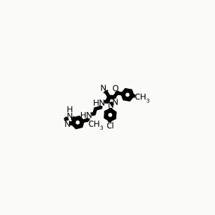 Cc1ccc(C(=O)c2nn(-c3ccc(Cl)cc3)c(NCCCNC(C)c3ccc4nc[nH]c4c3)c2C#N)cc1